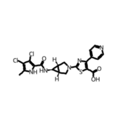 Cc1[nH]c(C(=O)N[C@H]2[C@@H]3CN(c4nc(-c5ccncc5)c(C(=O)O)s4)C[C@@H]32)c(Cl)c1Cl